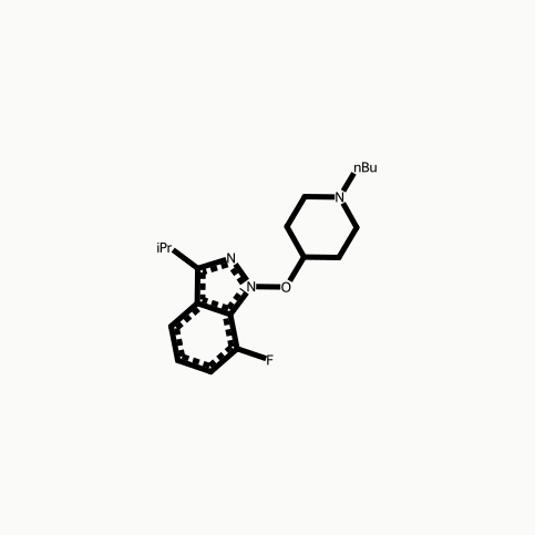 CCCCN1CCC(On2nc(C(C)C)c3cccc(F)c32)CC1